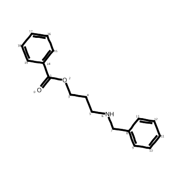 O=C(OCCCNCc1ccccc1)c1ccccc1